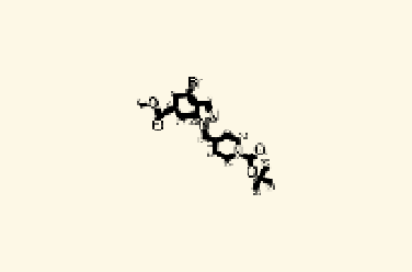 COC(=O)c1cc(Br)c2cnn(CC3CCN(C(=O)OC(C)(C)C)CC3)c2c1